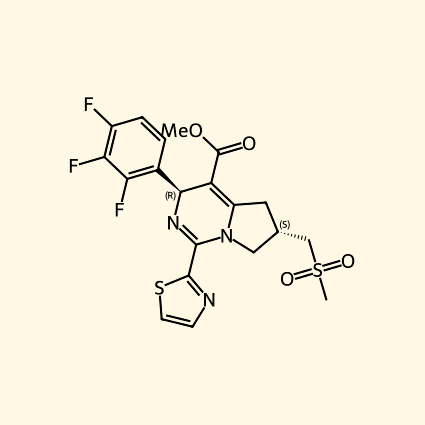 COC(=O)C1=C2C[C@H](CS(C)(=O)=O)CN2C(c2nccs2)=N[C@H]1c1ccc(F)c(F)c1F